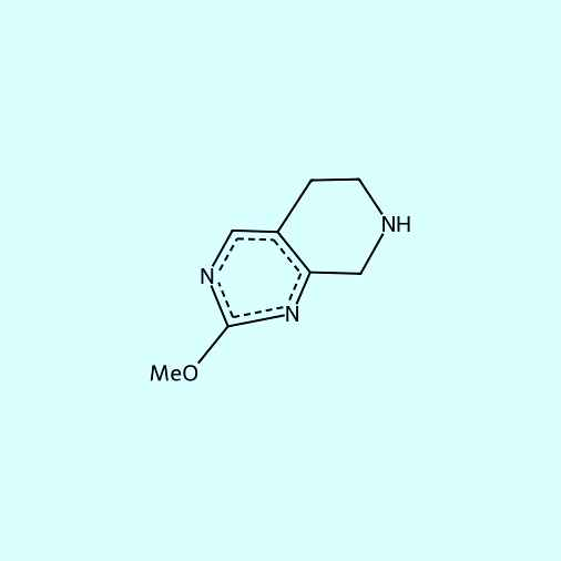 COc1ncc2c(n1)CNCC2